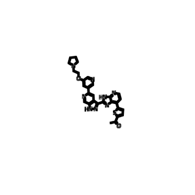 CC(=O)c1ccc(-c2ccnc3[nH]c(-c4n[nH]c5cnc(-c6cncc(OCCN7CCCC7)c6)cc45)nc23)s1